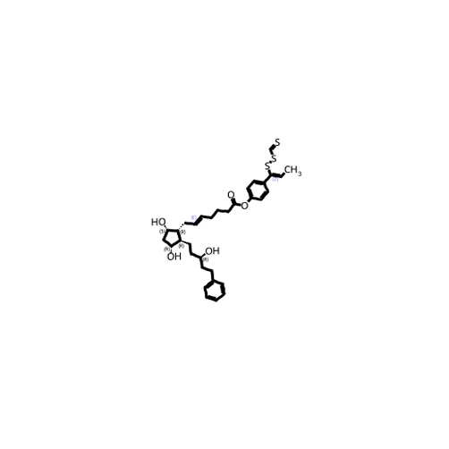 C/C=C(\SSC=S)c1ccc(OC(=O)CCC/C=C/C[C@@H]2[C@@H](CC[C@@H](O)CCc3ccccc3)[C@H](O)C[C@@H]2O)cc1